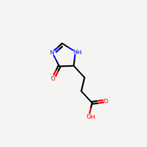 O=C(O)CCC1NC=NC1=O